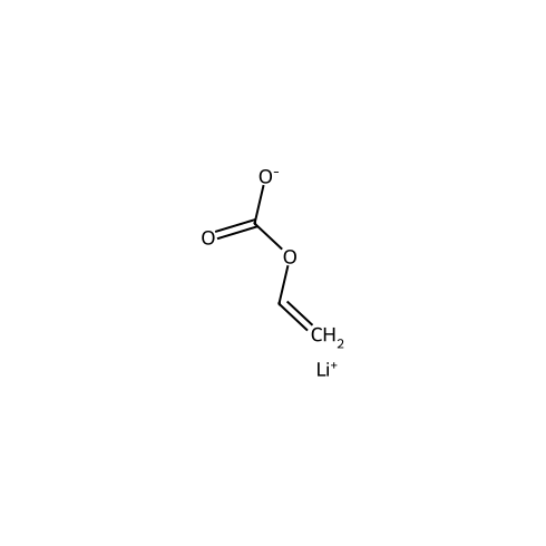 C=COC(=O)[O-].[Li+]